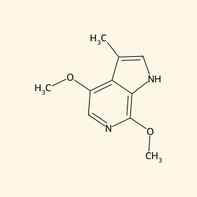 COc1ncc(OC)c2c(C)c[nH]c12